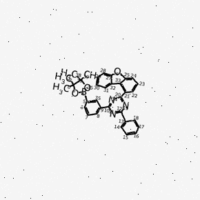 CC1(C)OB(c2cccc(-c3nc(-c4ccccc4)nc(-c4cccc5oc6ccccc6c45)n3)c2)OC1(C)C